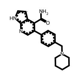 NC(=O)c1c(-c2ccc(CN3CCCCC3)cc2)cnc2[nH]c[c]c12